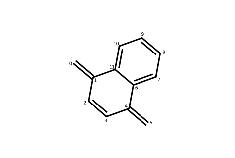 C=c1ccc(=C)c2ccccc12